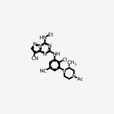 CCNc1nc(Nc2cc(C#N)cc(N3CCN(C(C)=O)C[C@@H]3C)c2Cl)nc2c(C#N)cnn12